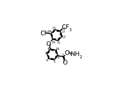 NOC(=O)c1cccc(Oc2ccc(C(F)(F)F)cc2Cl)c1